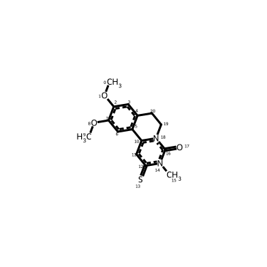 COc1cc2c(cc1OC)-c1cc(=S)n(C)c(=O)n1CC2